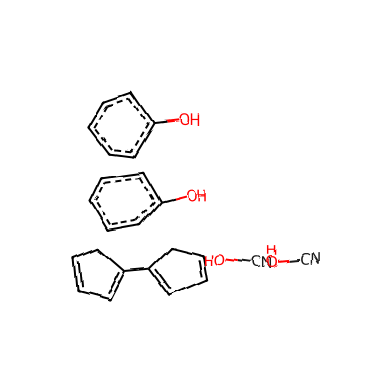 C1=CCC(C2=CC=CC2)=C1.N#CO.N#CO.Oc1ccccc1.Oc1ccccc1